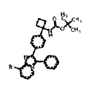 CC(C)(C)OC(=O)NC1(c2ccc(-c3nc4c(Br)cccn4c3-c3ccccc3)cc2)CCC1